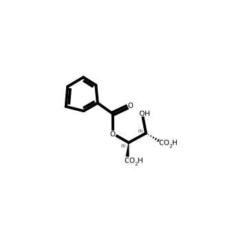 O=C(O[C@H](C(=O)O)[C@H](O)C(=O)O)c1ccccc1